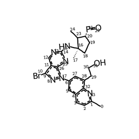 Cc1ccc2cc(-n3nc(Br)c4cnc(N[C@]5(C)CC[C@@H](P=O)C5C)nc43)cc(CCO)c2n1